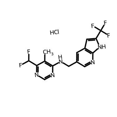 Cc1c(NCc2cnc3[nH]c(C(F)(F)F)cc3c2)ncnc1C(F)F.Cl